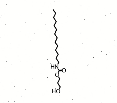 CCCCCCCCCCCCCCNC(=O)OCCCO